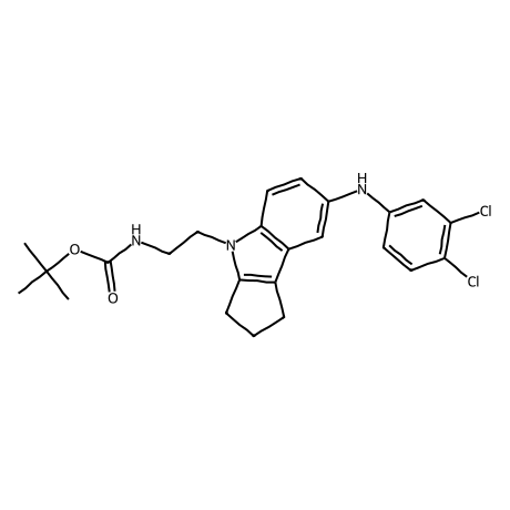 CC(C)(C)OC(=O)NCCn1c2c(c3cc(Nc4ccc(Cl)c(Cl)c4)ccc31)CCC2